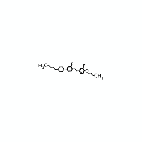 CCCCC[C@H]1CC[C@H](c2ccc(CCc3ccc(OCCCC)c(F)c3)c(F)c2)CC1